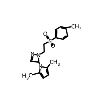 Cc1ccc(S(=O)(=O)CCN2N=CC2n2c(C)ccc2C)cc1